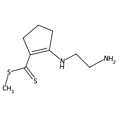 CSC(=S)C1=C(NCCN)CCC1